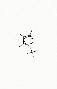 CC(C)(C)n1nc(Cl)c(N)c1Cl